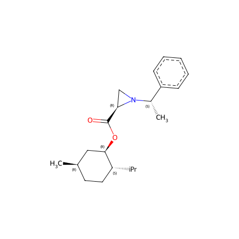 CC(C)[C@@H]1CC[C@@H](C)C[C@H]1OC(=O)[C@H]1CN1[C@@H](C)c1ccccc1